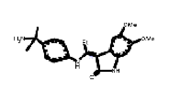 CC/C(Nc1ccc(C(C)(C)N)cc1)=C1/C(=O)Nc2cc(OC)c(OC)cc21